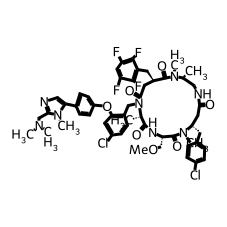 COC[C@@H]1NC(=O)[C@H](C)N(Cc2ccc(Cl)cc2Oc2ccc(-c3cnc(CN(C)C)n3C)cc2)C(=O)C[C@@H](Cc2c(F)c(F)cc(F)c2F)C(=O)N(C)[C@@H](C)CNC(=O)C[C@H](Cc2ccc(Cl)cc2)N(C)C1=O